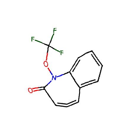 O=c1ccc2ccccc2n1OC(F)(F)F